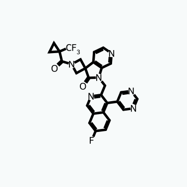 O=C1N(Cc2ncc3cc(F)ccc3c2-c2cncnc2)c2cnccc2C12CN(C(=O)C1(C(F)(F)F)CC1)C2